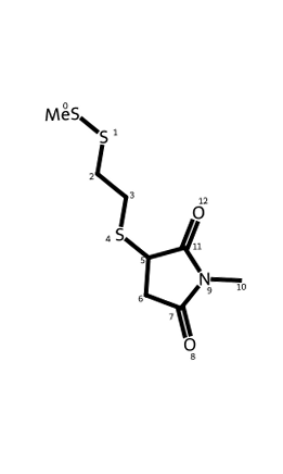 CSSCCSC1CC(=O)N(C)C1=O